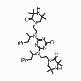 CC(C)CC(C)N(CCN1CC(C)(C)NC(C)(C)C1=O)c1nc(Cl)nc(N(CCN2CC(C)(C)NC(C)(C)C2=O)C(C)CC(C)C)n1